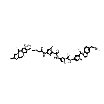 C=C1C[C@H]2C=Nc3cc(OCCCC(=O)Nc4cn(C)c(C(=O)Nc5cc(C(=O)Nc6cc(C(=O)n7ccc8cc(CN)ccc87)n(C)c6)n(C)c5)n4)c(OC)cc3C(=O)N2C1